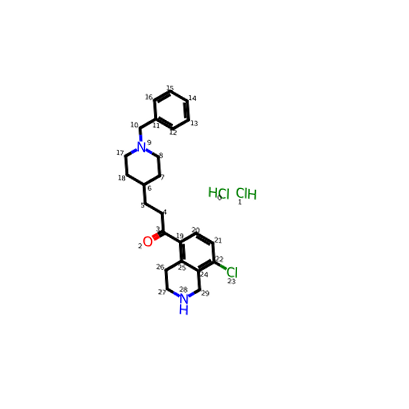 Cl.Cl.O=C(CCC1CCN(Cc2ccccc2)CC1)c1ccc(Cl)c2c1CCNC2